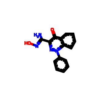 N/C(=N\O)c1nn(-c2ccccc2)c2ccccc2c1=O